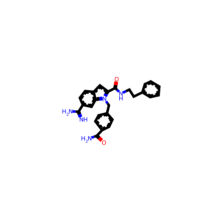 N=C(N)c1ccc2cc(C(=O)NCCc3ccccc3)n(Cc3ccc(C(N)=O)cc3)c2c1